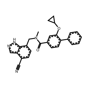 CN(Cc1ccc(C#N)c2cn[nH]c12)C(=O)c1ccc(-c2ccccc2)c(OC2CC2)c1